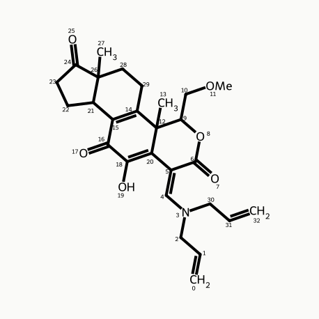 C=CCN(C=C1C(=O)OC(COC)C2(C)C3=C(C(=O)C(O)=C12)C1CCC(=O)C1(C)CC3)CC=C